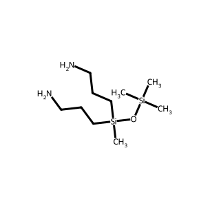 C[Si](C)(C)O[Si](C)(CCCN)CCCN